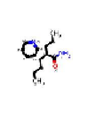 CCCCC(CCC)C(N)=O.c1ccncc1